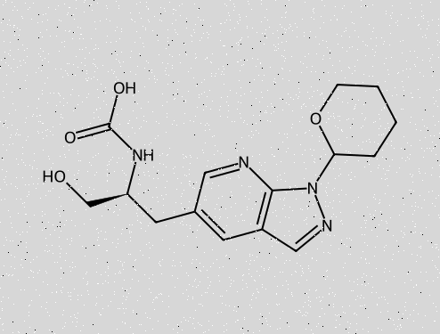 O=C(O)N[C@H](CO)Cc1cnc2c(cnn2C2CCCCO2)c1